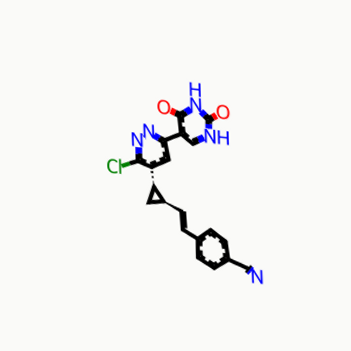 N#Cc1ccc(/C=C/[C@H]2C[C@@H]2c2cc(-c3c[nH]c(=O)[nH]c3=O)nnc2Cl)cc1